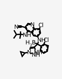 BC(Nc1cc(Cl)c2ncc(C#N)c(NC(C)(C)C(C)C)c2c1)(C1=CN(C2CC2)NN1)c1ccccc1Cl